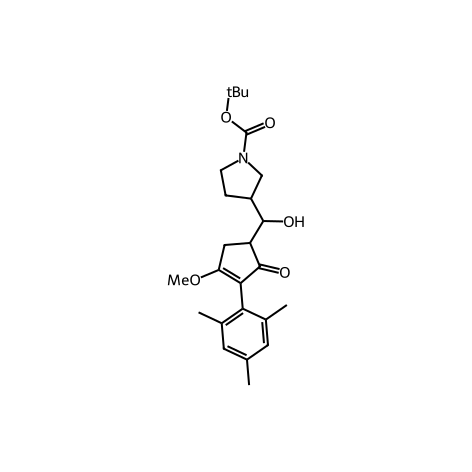 COC1=C(c2c(C)cc(C)cc2C)C(=O)C(C(O)C2CCN(C(=O)OC(C)(C)C)C2)C1